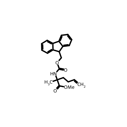 C=CCCC(C)(NC(=O)OCC1c2ccccc2-c2ccccc21)C(=O)OC